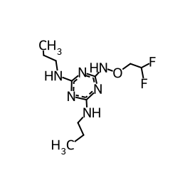 CCCNc1nc(NCCC)nc(NOCC(F)F)n1